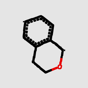 [c]1ccc2c(c1)CCO[CH]2